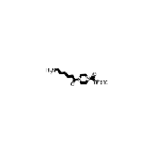 CCCCCC(=O)N1CCN(C(=O)CCCCCN)CC1